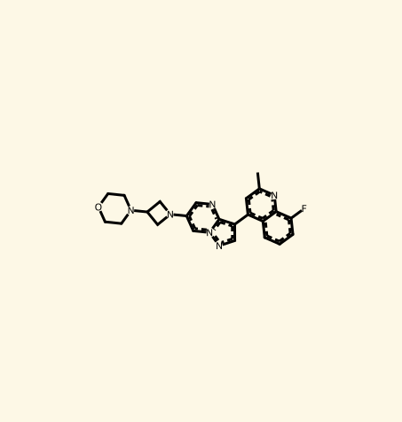 Cc1cc(-c2cnn3cc(N4CC(N5CCOCC5)C4)cnc23)c2cccc(F)c2n1